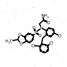 CC1Oc2ccc(S(=O)(=O)N(CC(N)=O)c3ccc(Cl)cc3Cc3c(Cl)cccc3Cl)cc2O1